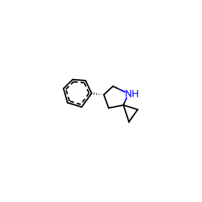 c1ccc([C@@H]2CNC3(CC3)C2)cc1